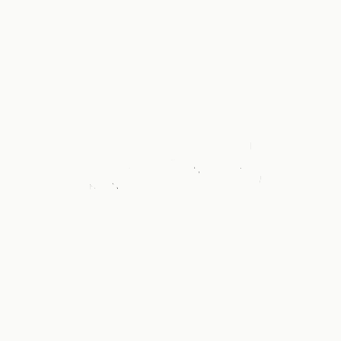 O=NN1CCC(C(=O)NCC(F)(F)F)C1